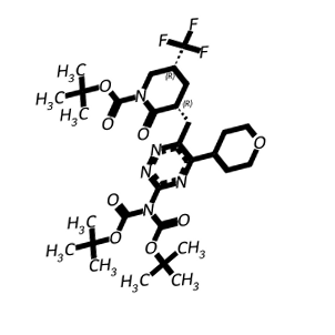 CC(C)(C)OC(=O)N1C[C@H](C(F)(F)F)C[C@H](Cc2nnc(N(C(=O)OC(C)(C)C)C(=O)OC(C)(C)C)nc2C2CCOCC2)C1=O